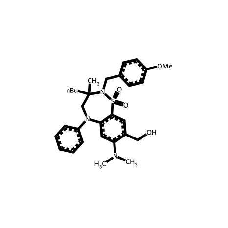 CCCCC1(C)CN(c2ccccc2)c2cc(N(C)C)c(CO)cc2S(=O)(=O)N1Cc1ccc(OC)cc1